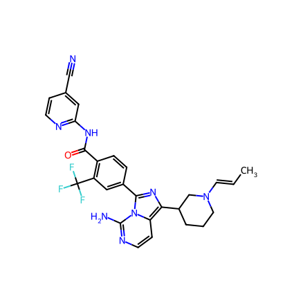 CC=CN1CCCC(c2nc(-c3ccc(C(=O)Nc4cc(C#N)ccn4)c(C(F)(F)F)c3)n3c(N)nccc23)C1